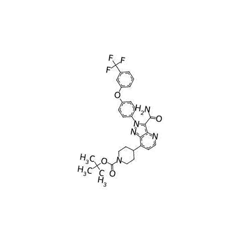 CC(C)(C)OC(=O)N1CCC(c2ccnc3c(C(N)=O)n(-c4ccc(Oc5cccc(C(F)(F)F)c5)cc4)nc23)CC1